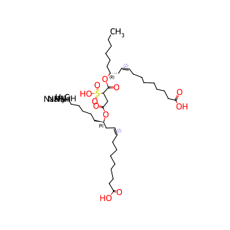 CCCCCC[C@H](C/C=C\CCCCCCCC(=O)O)OC(=O)CC(C(=O)O[C@@H](C/C=C\CCCCCCCC(=O)O)CCCCCC)S(=O)(=O)O.[NaH].[NaH].[NaH].[NaH]